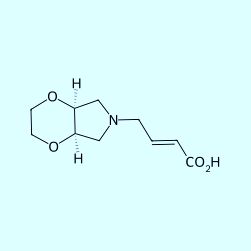 O=C(O)/C=C/CN1C[C@@H]2OCCO[C@@H]2C1